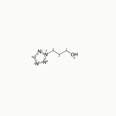 OCCCn1n[c]nn1